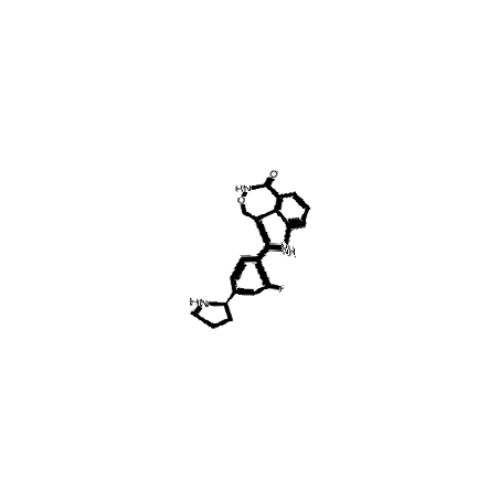 O=C1NOCc2c(-c3ccc([C@H]4CCCN4)cc3F)[nH]c3cccc1c23